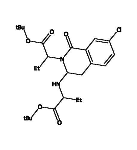 CCC(NC1Cc2ccc(Cl)cc2C(=O)N1C(CC)C(=O)OC(C)(C)C)C(=O)OC(C)(C)C